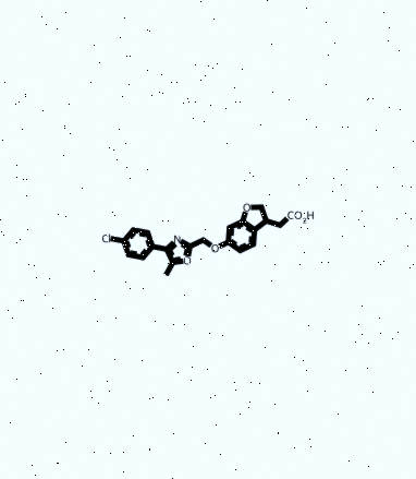 Cc1oc(COc2ccc3c(c2)OCC3CC(=O)O)nc1-c1ccc(Cl)cc1